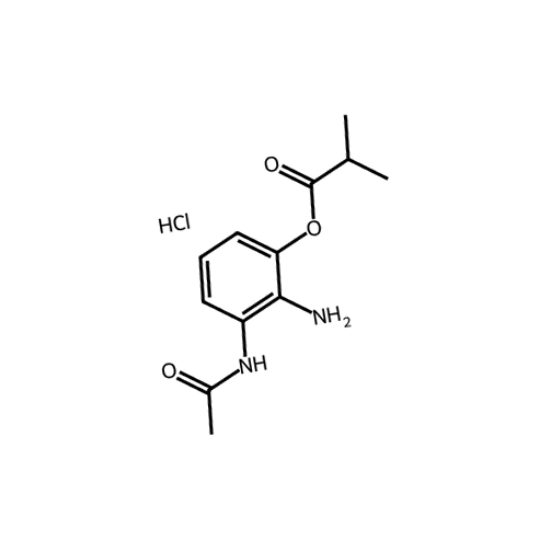 CC(=O)Nc1cccc(OC(=O)C(C)C)c1N.Cl